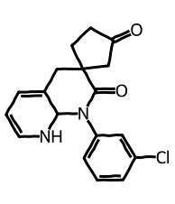 O=C1CCC2(C1)CC1=CC=CNC1N(c1cccc(Cl)c1)C2=O